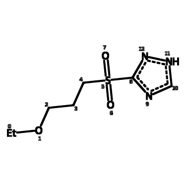 CCOCCCS(=O)(=O)c1nc[nH]n1